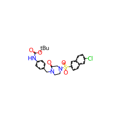 CC(C)(C)OC(=O)Nc1ccc(CN2CCN(S(=O)(=O)c3ccc4cc(Cl)ccc4c3)CC2=O)cc1